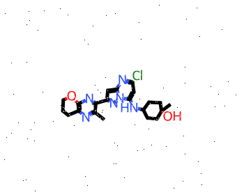 Cc1nc2c(nc1-c1cc3nc(Cl)cc(NC4CCC(C)(O)CC4)n3n1)OCCC2